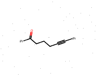 CC(C)C#CCCCC(=O)C(C)C